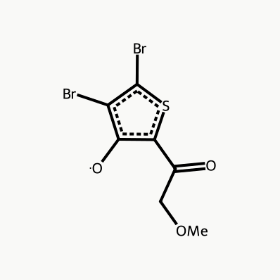 COCC(=O)c1sc(Br)c(Br)c1[O]